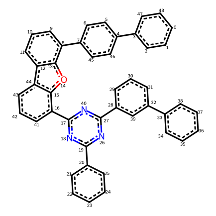 c1ccc(-c2ccc(-c3cccc4c3oc3c(-c5nc(-c6ccccc6)nc(-c6cccc(-c7ccccc7)c6)n5)cccc34)cc2)cc1